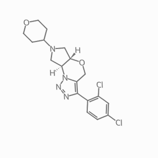 Clc1ccc(-c2nnn3c2CO[C@H]2CN(C4CCOCC4)C[C@@H]23)c(Cl)c1